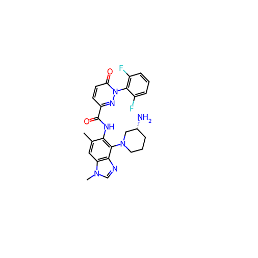 Cc1cc2c(ncn2C)c(N2CCC[C@@H](N)C2)c1NC(=O)c1ccc(=O)n(-c2c(F)cccc2F)n1